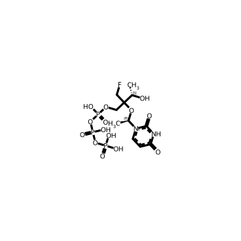 C[C@H](O)C(CF)(COP(=O)(O)OP(=O)(O)OP(=O)(O)O)O[C@H](C)n1ccc(=O)[nH]c1=O